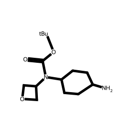 CC(C)(C)OC(=O)N(C1CCC(N)CC1)C1COC1